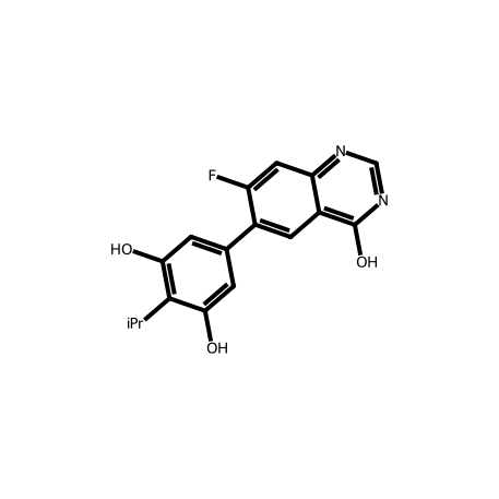 CC(C)c1c(O)cc(-c2cc3c(O)ncnc3cc2F)cc1O